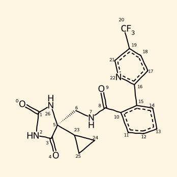 O=C1NC(=O)[C@](CNC(=O)c2ccccc2-c2ccc(C(F)(F)F)cn2)(C2CC2)N1